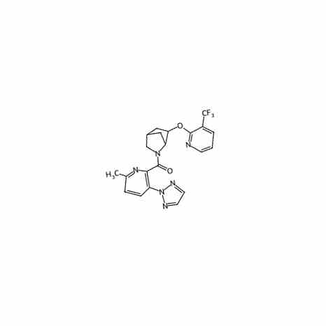 Cc1ccc(-n2nccn2)c(C(=O)N2CC3CC(Oc4ncccc4C(F)(F)F)C2C3)n1